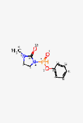 CN1CCN([PH](=O)Oc2ccccc2)C1=O